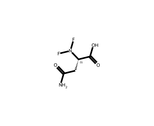 NC(=O)C[C@@H](C(=O)O)N(F)F